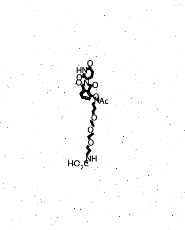 CC(=O)N(CCCOCCOCCOCCCNC(=O)O)Oc1cccc2c1C(=O)N(C1CCC(=O)NC1=O)C2=O